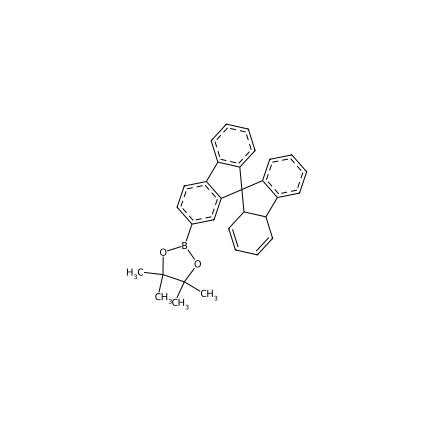 CC1(C)OB(c2ccc3c(c2)C2(c4ccccc4-3)c3ccccc3C3C=CC=CC32)OC1(C)C